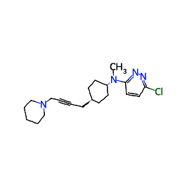 CN(c1ccc(Cl)nn1)[C@H]1CC[C@H](CC#CCN2CCCCC2)CC1